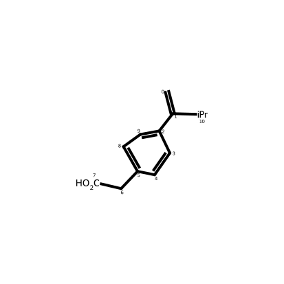 C=C(c1ccc(CC(=O)O)cc1)C(C)C